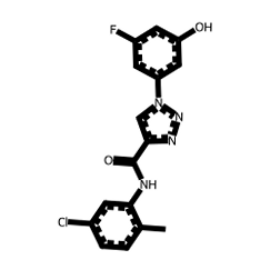 Cc1ccc(Cl)cc1NC(=O)c1cn(-c2cc(O)cc(F)c2)nn1